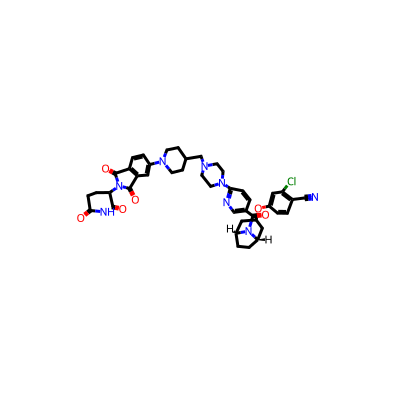 N#Cc1ccc(OC2C[C@H]3CC[C@@H](C2)N3C(=O)c2ccc(N3CCN(CC4CCN(c5ccc6c(c5)C(=O)N(C5CCC(=O)NC5=O)C6=O)CC4)CC3)nc2)cc1Cl